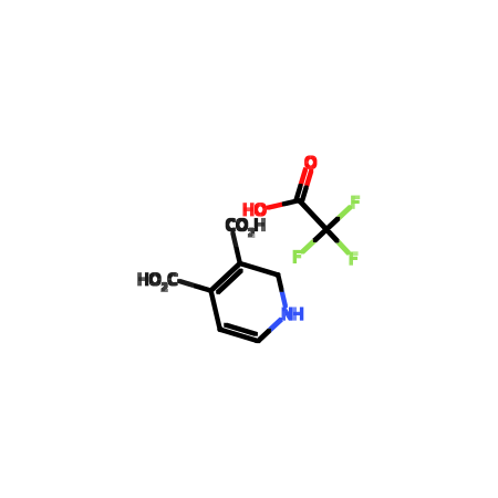 O=C(O)C(F)(F)F.O=C(O)C1=C(C(=O)O)CNC=C1